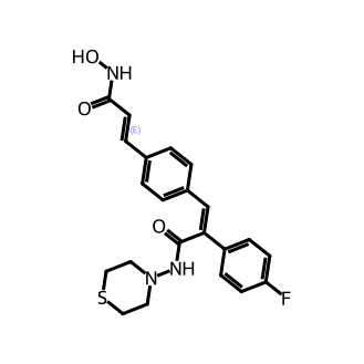 O=C(/C=C/c1ccc(C=C(C(=O)NN2CCSCC2)c2ccc(F)cc2)cc1)NO